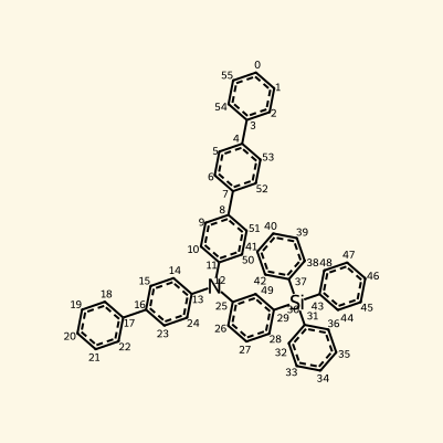 c1ccc(-c2ccc(-c3ccc(N(c4ccc(-c5ccccc5)cc4)c4cccc([Si](c5ccccc5)(c5ccccc5)c5ccccc5)c4)cc3)cc2)cc1